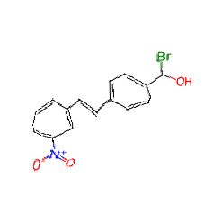 O=[N+]([O-])c1cccc(/C=C/c2ccc(C(O)Br)cc2)c1